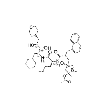 CCCC[C@H](NC(=O)C(Cc1cccc2ccccc12)CS(=O)(=O)CC(C)(OC)OC(C)=O)C(=O)N[C@@H](CC1CCCCC1)[C@@H](O)[C@@H](O)CN1CCOCC1